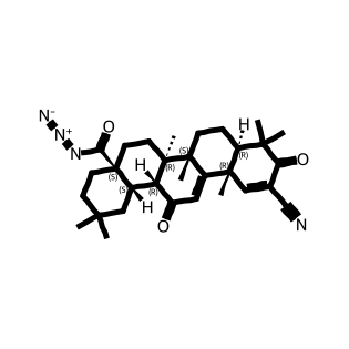 CC1(C)CC[C@]2(C(=O)N=[N+]=[N-])CC[C@]3(C)[C@H](C(=O)C=C4[C@@]5(C)C=C(C#N)C(=O)C(C)(C)[C@@H]5CC[C@]43C)[C@@H]2C1